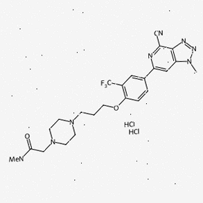 CNC(=O)CN1CCN(CCCOc2ccc(-c3cc4c(nnn4C)c(C#N)n3)cc2C(F)(F)F)CC1.Cl.Cl